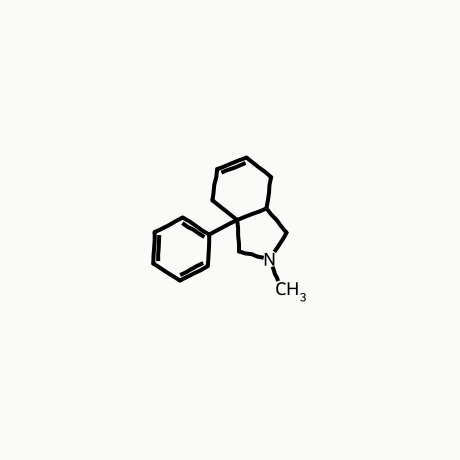 CN1CC2CC=CCC2(c2ccccc2)C1